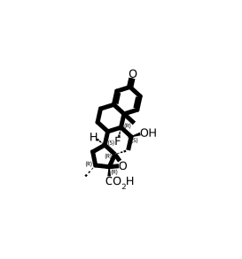 C[C@@H]1C[C@H]2C3CCC4=CC(=O)C=CC4(C)[C@@]3(F)[C@@H](O)C[C@@]23O[C@]13C(=O)O